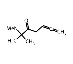 C=C=CCC(=O)C(C)(C)NC